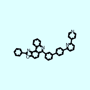 c1ccc(-c2nc3c(ccc4c(-c5cccc(-c6ccc(-c7cccc(-c8ccncc8)n7)cc6)c5)nc5ccccc5c43)o2)cc1